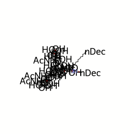 CCCCCCCCCCCCC/C=C/[C@@H](O)[C@H](CO[C@@H]1OC(CO)[C@@H](O[C@@H]2OC(CO[C@@H]3OC(CO)[C@@H](O[C@@H]4OC(CO)[C@H](O)[C@H](O)C4O)[C@H](O)C3NC(C)=O)[C@H](O)[C@H](O[C@H]3OC(CO)[C@H](O)[C@H](O[C@@H]4OC(CO)[C@H](O)[C@H](O[C@H]5OC(CO)[C@H](O)[C@H](O)C5NC(C)=O)C4NC(C)=O)C3O)C2O)[C@H](O)C1O)NC(=O)CCCCCCCCCCCCCCCCCCCCC